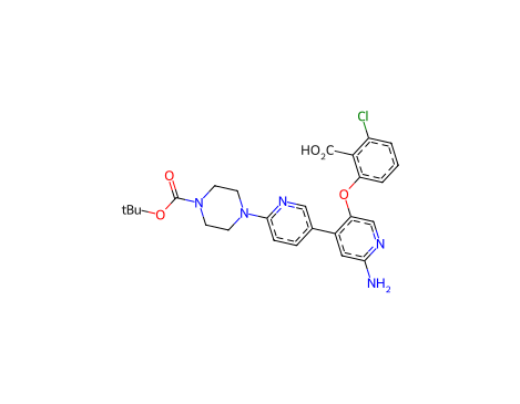 CC(C)(C)OC(=O)N1CCN(c2ccc(-c3cc(N)ncc3Oc3cccc(Cl)c3C(=O)O)cn2)CC1